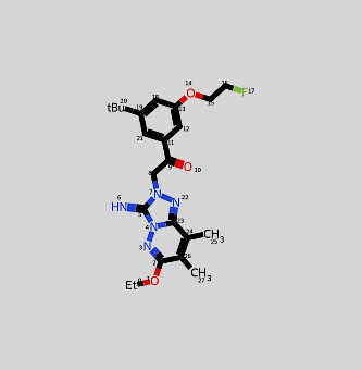 CCOc1nn2c(=N)n(CC(=O)c3cc(OCCF)cc(C(C)(C)C)c3)nc2c(C)c1C